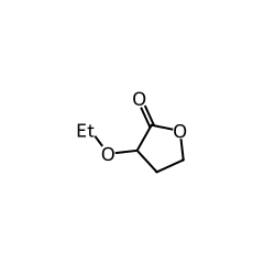 CCOC1CCOC1=O